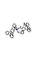 C=C1/C=C(n2c3ccccc3c3cc(-c4ccccc4-c4ccccn4)ccc32)\C=C/COc2cc(-c3ccccn3)c(-c3ccccn3)cc21